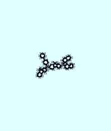 CC1(C)c2cc(N(c3ccc(-c4ccccc4)cc3)c3ccc4c(c3)C(C)(C)C3C=CC=CC43)ccc2-c2ccc(-n3c4ccc5ccccc5c4c4c5ccccc5ccc43)cc21